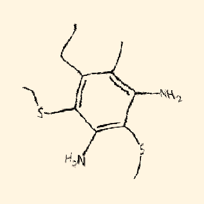 CCc1c(C)c(N)c(SC)c(N)c1SC